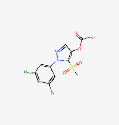 CCC(=O)Oc1cnn(-c2cc(Cl)cc(Cl)c2)c1S(C)(=O)=O